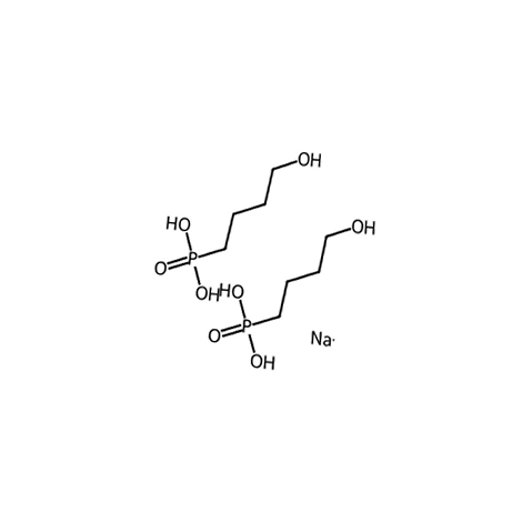 O=P(O)(O)CCCCO.O=P(O)(O)CCCCO.[Na]